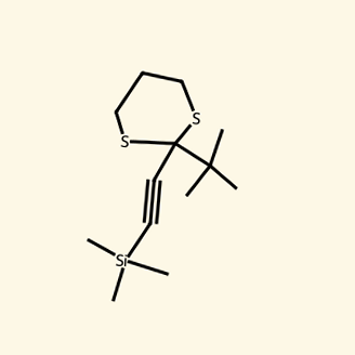 CC(C)(C)C1(C#C[Si](C)(C)C)SCCCS1